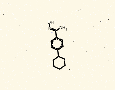 N/C(=N\O)c1ccc(C2CCCCC2)cc1